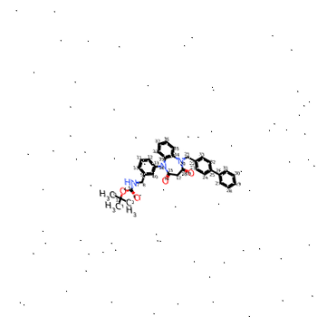 CC(C)(C)OC(=O)NCc1cccc(N2C(=O)CC(=O)N(Cc3ccc(-c4ccccc4)cc3)c3ccccc32)c1